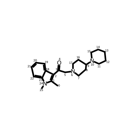 Cc1c(C(=O)CN2CCC(N3CCCCC3)CC2)c2ccccc2n1C